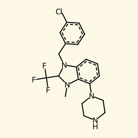 CN1c2c(N3CCNCC3)cccc2N(Cc2cccc(Cl)c2)C1C(F)(F)F